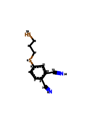 N#Cc1ccc(SCCCS)cc1C#N